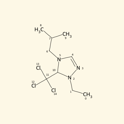 CCN1N=CN(CC(C)C)C1C(Cl)(Cl)Cl